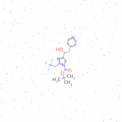 CC(C)(C)OC(=O)n1cc(C(O)Cc2ccncc2)nc1CC(F)(F)F